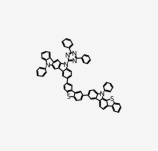 c1ccc(-c2nc(-c3ccccc3)nc(-n3c4ccc(-c5ccc6sc7ccc(-c8ccc9c(c8)c8ccc%10c%11ccccc%11sc%10c8n9-c8ccccc8)cc7c6c5)cc4c4cc5c(cc43)c3ccccc3n5-c3ccccc3)n2)cc1